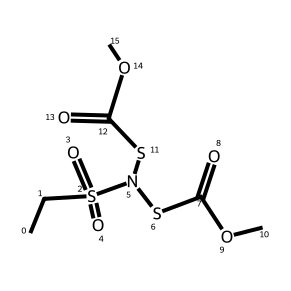 CCS(=O)(=O)N(SC(=O)OC)SC(=O)OC